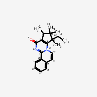 CCC1(C)c2c(c(=O)nc3c4ccccc4ccn23)C(C)C1(C)C